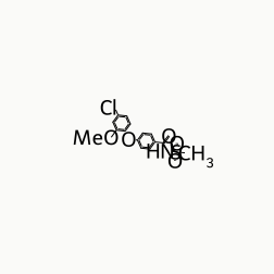 COc1cc(Cl)ccc1Oc1ccc(C(=O)NS(C)(=O)=O)cc1